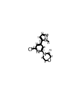 C[C@@H]1COCCN1c1cc(-c2ccnn2C)cc(Cl)n1